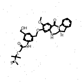 COc1cc2c(cc1OCc1cc(CO)cc(NC(=O)CCC(C)(C)S(C)=S)c1)NC[C@@H]1Cc3ccccc3N1C2=O